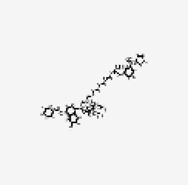 CN(CCOCCCCCCNC[C@H](O[Si](C)(C)C(C)(C)C)c1ccc(OCc2ccccc2)c2[nH]c(=O)ccc12)Cc1cccc([S+]([O-])C2CCCC2)c1